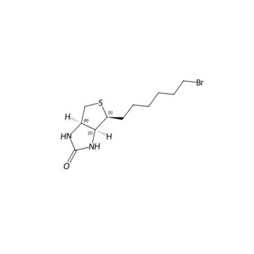 O=C1N[C@H]2[C@H](CS[C@H]2CCCCCCBr)N1